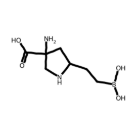 NC1(C(=O)O)CNC(CCB(O)O)C1